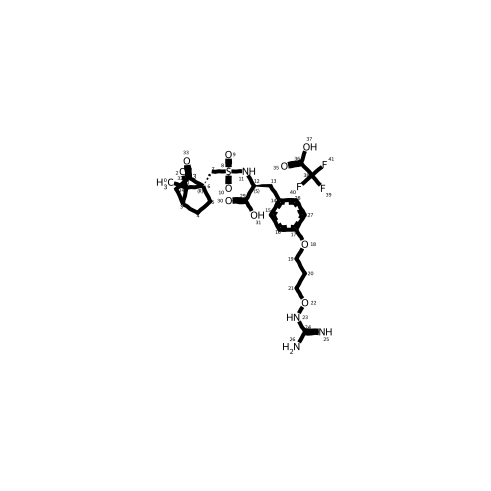 CC1(C)C2CC[C@]1(CS(=O)(=O)N[C@@H](Cc1ccc(OCCCONC(=N)N)cc1)C(=O)O)C(=O)C2.O=C(O)C(F)(F)F